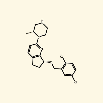 C[C@@H]1CNCCN1c1ccc2c(n1)[C@@H](OCc1cc(Cl)ccc1Cl)CC2